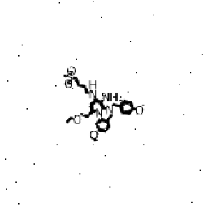 CCOCCc1cc(NCCCCS(C)(=O)=O)c(N)c(N(Cc2ccc(OC)cc2)Cc2ccc(OC)cc2)n1